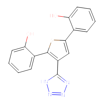 Oc1ccccc1-c1cc(-c2nnn[nH]2)c(-c2ccccc2O)s1